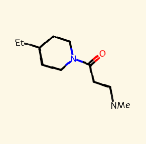 CCC1CCN(C(=O)CCNC)CC1